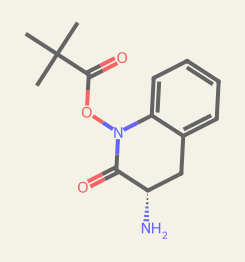 CC(C)(C)C(=O)ON1C(=O)[C@@H](N)Cc2ccccc21